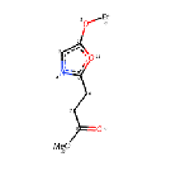 CCOc1cnc(CCC(=O)OC)o1